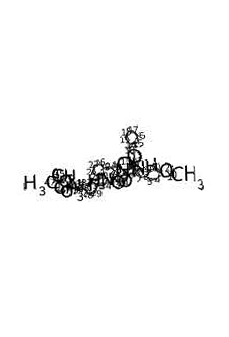 CCOc1ccc(CC(NC(=O)OCc2ccccc2)C(=O)NC(Cc2ccccc2)C(=O)NCc2ccc(CNC(=O)OC(C)(C)C)cc2)cc1